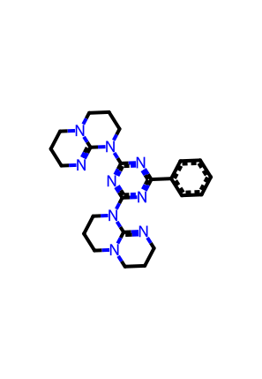 c1ccc(-c2nc(N3CCCN4CCCN=C43)nc(N3CCCN4CCCN=C43)n2)cc1